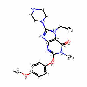 CCn1c(N2CCNCC2)nc2nc(Oc3ccc(OC)cc3)n(C)c(=O)c21